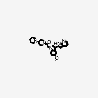 COc1ccc2c(c1)c(-c1cc3cccnc3[nH]1)cn2CC(=O)N1CCC(N2CCCCC2)CC1